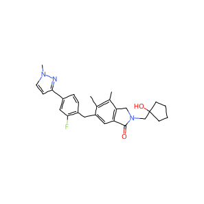 Cc1c(Cc2ccc(-c3ccn(C)n3)cc2F)cc2c(c1C)CN(CC1(O)CCCC1)C2=O